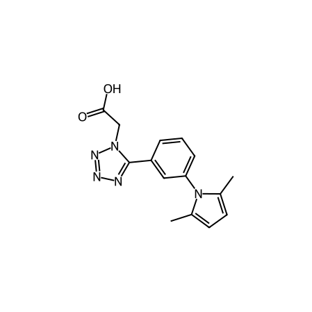 Cc1ccc(C)n1-c1cccc(-c2nnnn2CC(=O)O)c1